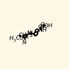 CC(C)Oc1ccc(-c2ncc(-c3cccc4c3CCC4N[S+]([O-])CC(=O)O)s2)cc1C#N